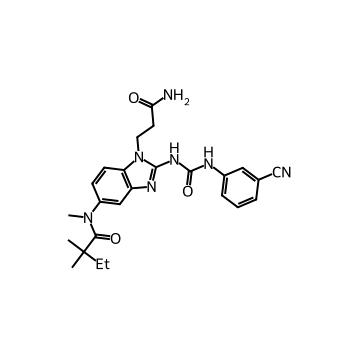 CCC(C)(C)C(=O)N(C)c1ccc2c(c1)nc(NC(=O)Nc1cccc(C#N)c1)n2CCC(N)=O